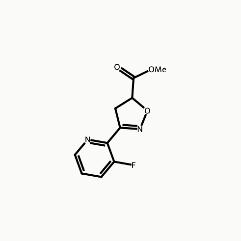 COC(=O)C1CC(c2ncccc2F)=NO1